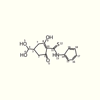 O=C1CC(C(O)O)CC(O)=C1C(=S)Nc1ccccc1